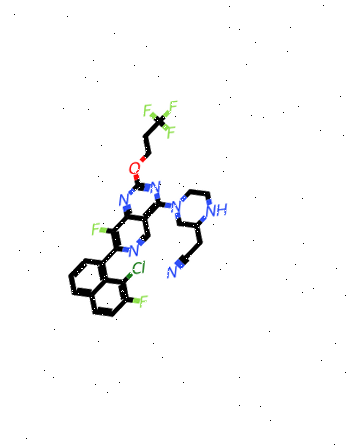 N#CCC1CN(c2nc(OCCC(F)(F)F)nc3c(F)c(-c4cccc5ccc(F)c(Cl)c45)ncc23)CCN1